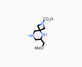 COCC1CNCC2(CN(C(=O)O)C2)N1